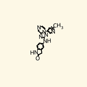 Cn1cc([N+]23C=CN=CC2=NC(Nc2ccc4c(c2)CC(=O)N4)=N3)cn1